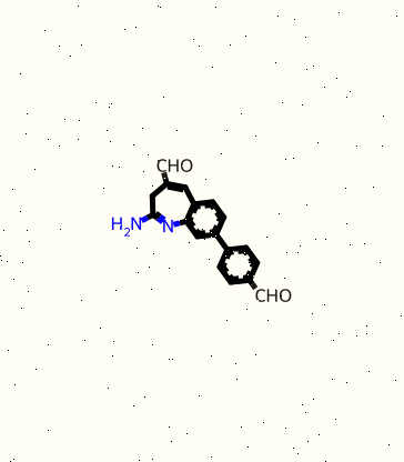 NC1=Nc2cc(-c3ccc(C=O)cc3)ccc2C=C(C=O)C1